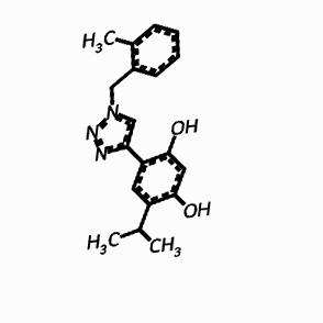 Cc1ccccc1Cn1cc(-c2cc(C(C)C)c(O)cc2O)nn1